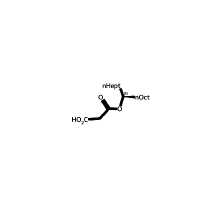 CCCCCCCC[C@H](CCCCCCC)OC(=O)CC(=O)O